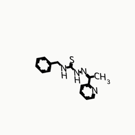 CC(=NNC(=S)NCc1ccccc1)c1ccccn1